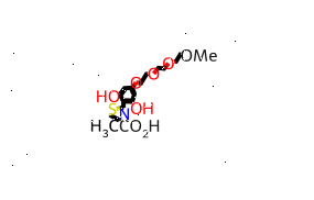 COCCOCCOCCOc1cc(O)c(C2=N[C@@](C)(C(=O)O)CS2)c(O)c1